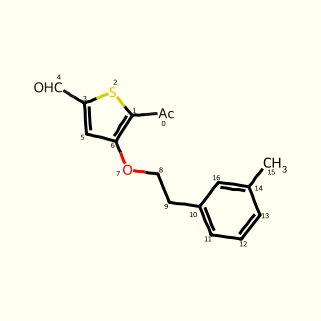 CC(=O)c1sc(C=O)cc1OCCc1cccc(C)c1